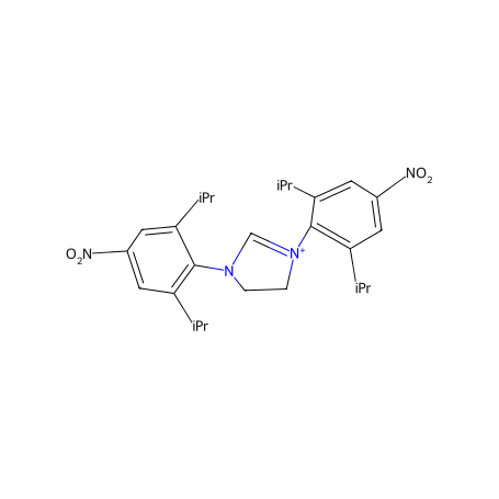 CC(C)c1cc([N+](=O)[O-])cc(C(C)C)c1N1C=[N+](c2c(C(C)C)cc([N+](=O)[O-])cc2C(C)C)CC1